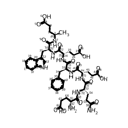 C[C@H](CCC(=O)O)NC(=O)[C@H](Cc1c[nH]c2ccccc12)NC(=O)[C@H](CCC(=O)O)NC(=O)[C@H](Cc1ccccc1)NC(=O)[C@H](CCC(=O)O)NC(=O)[C@H](CCC(N)=O)NC(=O)[C@@H](N)CCC(=O)O